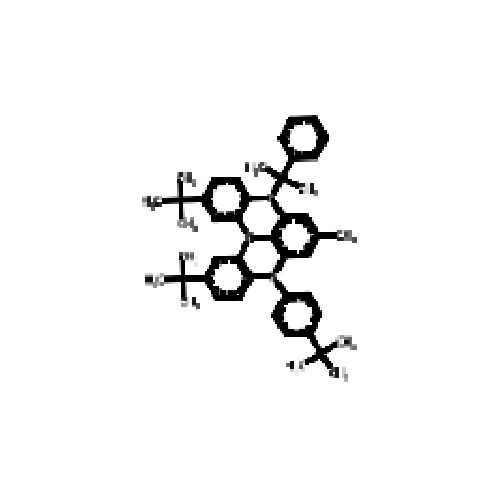 Cc1cc2c3c(c1)N(C(C)(C)c1ccccc1)c1ccc(C(C)(C)C)cc1B3c1cc(C(C)(C)C)ccc1N2c1ccc(C(C)(C)C)cc1